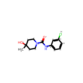 CC1(O)CCN(C(=O)Nc2cccc(Cl)c2)CC1